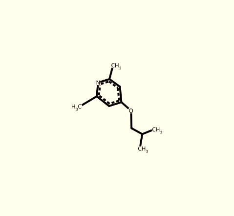 Cc1cc(OCC(C)C)cc(C)n1